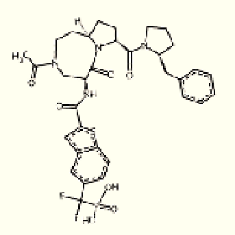 CC(=O)N1CC[C@H]2CC[C@@H](C(=O)N3CCC[C@H]3Cc3ccccc3)N2C(=O)[C@@H](NC(=O)c2cc3cc(C(F)(F)P(=O)(O)O)ccc3s2)C1